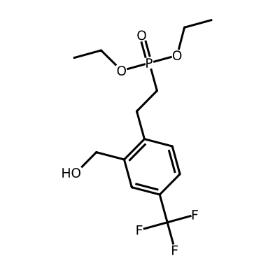 CCOP(=O)(CCc1ccc(C(F)(F)F)cc1CO)OCC